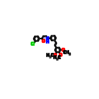 COc1cc(C=Cc2cccc(N/C=C\C(=O)c3cccc(Cl)c3)c2)cc(OC)c1OC